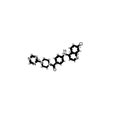 O=C(c1ccc(Nc2ccnc3cc(Cl)ccc23)cc1)N1CCN(c2ncncn2)CC1